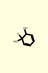 OC1C=CC=CC1(O)F